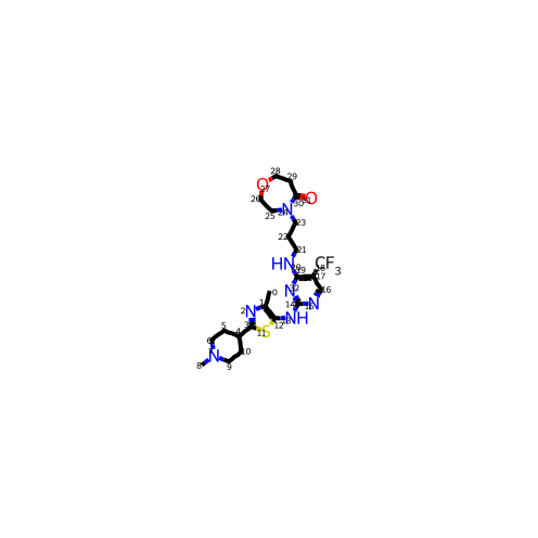 Cc1nc(C2CCN(C)CC2)sc1Nc1ncc(C(F)(F)F)c(NCCCN2CCOCCC2=O)n1